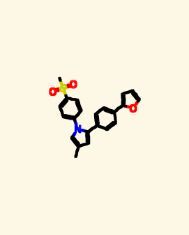 Cc1cc(-c2ccc(-c3ccco3)cc2)n(-c2ccc(S(C)(=O)=O)cc2)c1